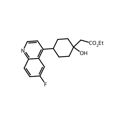 CCOC(=O)CC1(O)CCC(c2ccnc3ccc(F)cc23)CC1